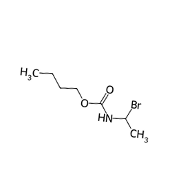 CCCCOC(=O)NC(C)Br